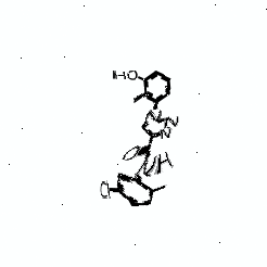 Cc1ccc(Cl)cc1NC(=O)c1cn(-c2cccc(O)c2C)nn1